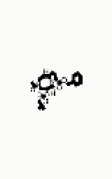 CC(=O)N1CC[C@H]2CC[C@@H](C(=O)OCc3ccccc3)N2C(=O)[C@@H](NC(=O)OC(C)(C)C)C1